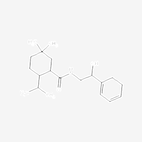 CC(C)C1CCC(C)(C)CC1C(=O)NCC(O)C1=CC=CCC1